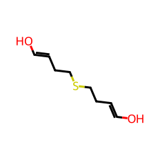 OC=CCCSCCC=CO